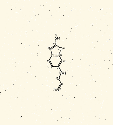 N=CONc1ccc2nc(S)oc2c1